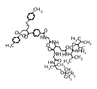 Cc1ccc(SCC(CS(=O)(=O)c2ccc(C)cc2)C(=O)c2ccc(C(=O)NCC(=O)NC(CCC(=O)NC(C(=O)NC(C)C(=O)C(C)C)C(C)C)C(=O)NCC(=O)NC(C)(C)CCOC(C)(C)C)cc2)cc1